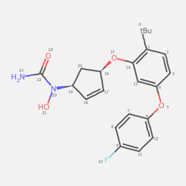 CC(C)(C)c1ccc(Oc2ccc(F)cc2)cc1O[C@H]1C=C[C@@H](N(O)C(N)=O)C1